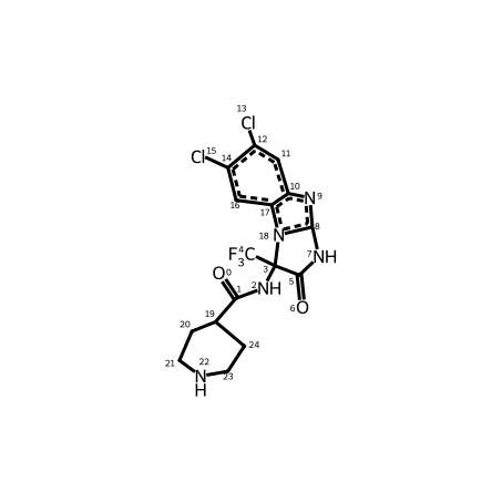 O=C(NC1(C(F)(F)F)C(=O)Nc2nc3cc(Cl)c(Cl)cc3n21)C1CCNCC1